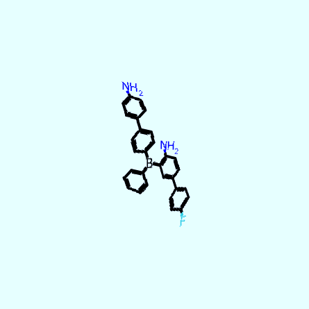 Nc1ccc(-c2ccc(B(c3ccccc3)c3cc(-c4ccc(F)cc4)ccc3N)cc2)cc1